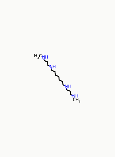 CNCCCNCCCCCCCNCCCNC